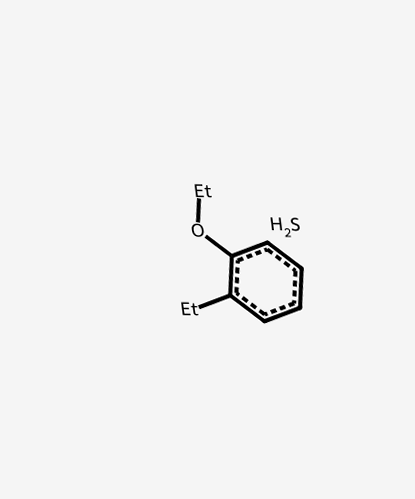 CCOc1ccccc1CC.S